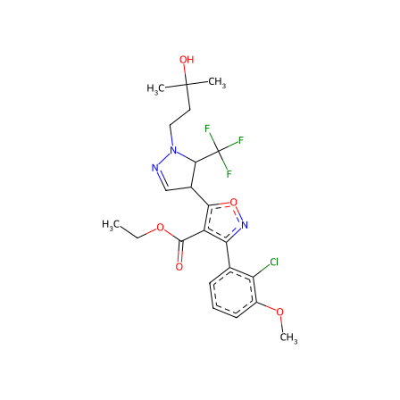 CCOC(=O)c1c(-c2cccc(OC)c2Cl)noc1C1C=NN(CCC(C)(C)O)C1C(F)(F)F